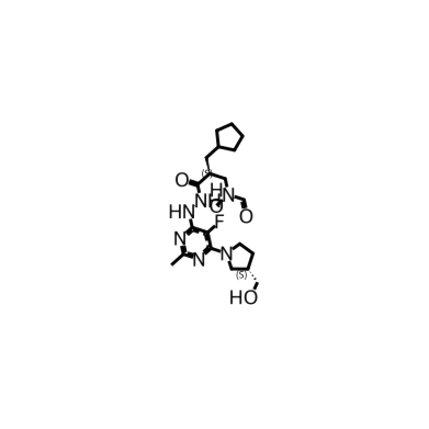 Cc1nc(NNC(=O)[C@@H](CC2CCCC2)CN(O)C=O)c(F)c(N2CC[C@H](CO)C2)n1